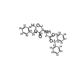 C=CC(NCC(=O)OC(c1ccccc1)c1ccccc1)C(=O)OCc1ccccc1